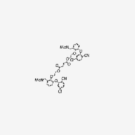 CNCc1cccc(Oc2cc(Cl)ccc2C#N)c1OCCOC(=O)/C=C/C(=O)OCCOc1c(CNC)cccc1Oc1cc(Cl)ccc1C#N